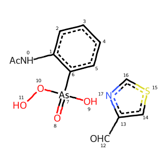 CC(=O)Nc1ccccc1[As](=O)(O)OO.O=Cc1cscn1